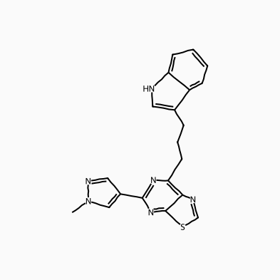 Cn1cc(-c2nc(CCCc3c[nH]c4ccccc34)c3ncsc3n2)cn1